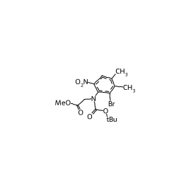 COC(=O)CN(C(=O)OC(C)(C)C)c1c([N+](=O)[O-])cc(C)c(C)c1Br